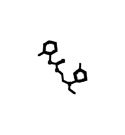 CCN(CCOC(=O)Oc1ccccc1C)c1cccc(C)c1